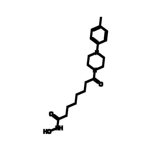 Cc1ccc(N2CCN(C(=O)CCCCCCC(=O)NO)CC2)cc1